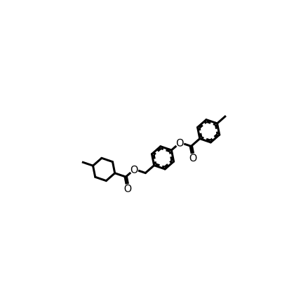 Cc1ccc(C(=O)Oc2ccc(COC(=O)C3CCC(C)CC3)cc2)cc1